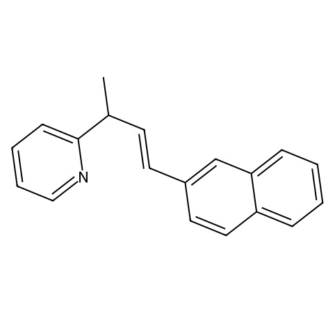 CC(C=Cc1ccc2ccccc2c1)c1ccccn1